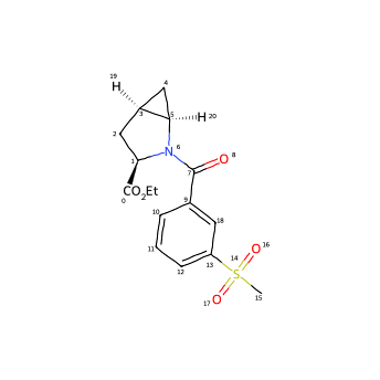 CCOC(=O)[C@H]1C[C@H]2C[C@H]2N1C(=O)c1cccc(S(C)(=O)=O)c1